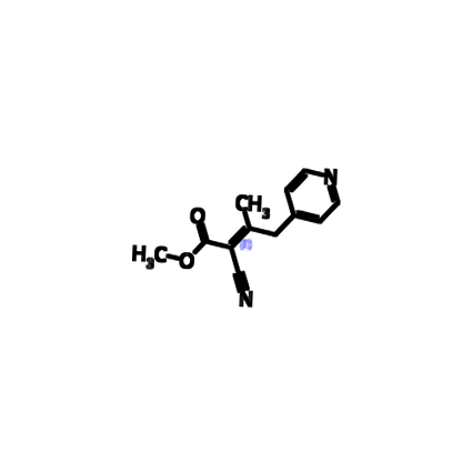 COC(=O)/C(C#N)=C(\C)Cc1ccncc1